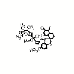 CO[C@@](C=O)(C1=C[C@H]([C@H](C)[C@@H](C)S(N)(=O)=O)C1)[C@@H]1CC[C@H]1CN1C[C@@]2(CCCc3c2ccc(Cl)c3F)COc2ccc(C(=O)O)cc21